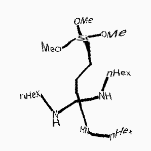 CCCCCCNC(CC[Si](OC)(OC)OC)(NCCCCCC)NCCCCCC